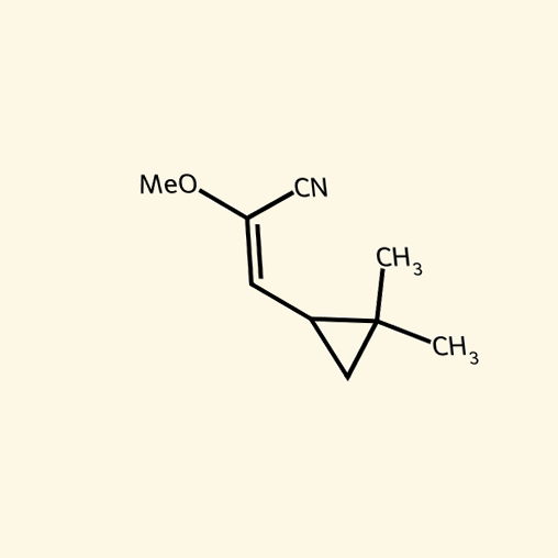 COC(C#N)=CC1CC1(C)C